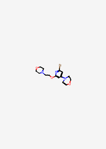 Brc1cc(N2CCOCC2)cc(OCCN2CCOCC2)n1